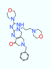 O=C1CN(Cc2ccccc2)CC2=C1N=C1N=C(N3CCOCC3)N[N+]1(CCCN1CCOCC1)C2